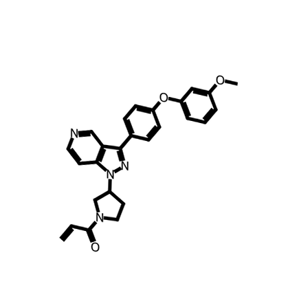 C=CC(=O)N1CCC(n2nc(-c3ccc(Oc4cccc(OC)c4)cc3)c3cnccc32)C1